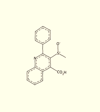 C[S+]([O-])c1c(-c2ccccc2)nc2ccccc2c1C(=O)O